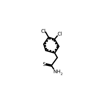 NC(=S)Cc1ccc(Cl)c(Cl)c1